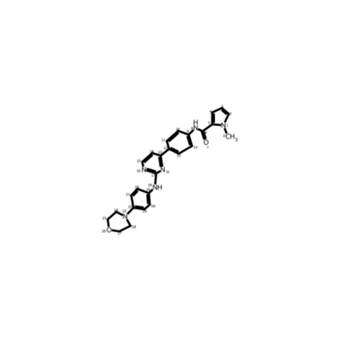 Cn1cccc1C(=O)Nc1ccc(-c2ccnc(Nc3ccc(N4CCOCC4)cc3)n2)cc1